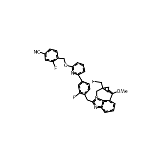 COC(=O)c1cccc2nc(Cc3ccc(-c4cccc(OCc5ccc(C#N)cc5F)n4)cc3F)n(CC3(CF)CC3)c12